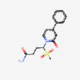 CS(=O)(=O)C(CCC(N)=O)n1ccc(-c2ccccc2)cc1=O